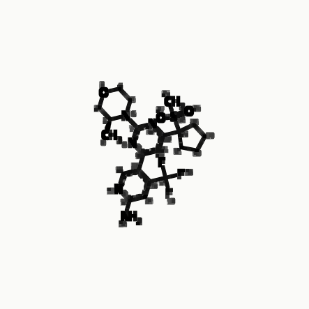 C[C@H]1COCCN1c1nc(-c2cnc(N)cc2C(F)(F)F)cc(C2(S(C)(=O)=O)CCCC2)n1